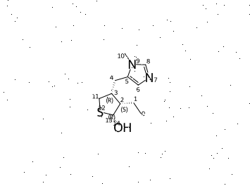 CC[C@H]1[C@@H](Cc2cncn2C)CS[C@H]1O